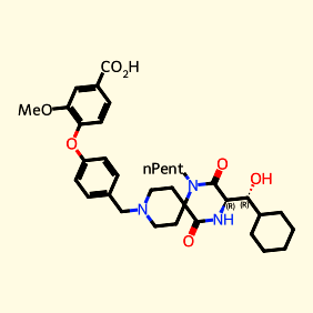 CCCCCN1C(=O)[C@@H]([C@H](O)C2CCCCC2)NC(=O)C12CCN(Cc1ccc(Oc3ccc(C(=O)O)cc3OC)cc1)CC2